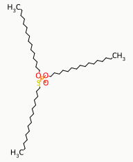 CCCCCCCCCCCCCCCCOP(=O)(OCCCCCCCCCCCCCCCC)SCCCCCCCCCCCCCCCC